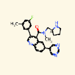 Cc1cc(F)cc(-c2cnc3ccc(-c4cncnc4)cc3c2C(=O)N(C)C[C@@H]2CCCN2)c1